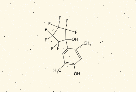 Cc1cc(C2(O)C(F)(F)C(F)(F)C(F)(F)C2(F)F)c(C)cc1O